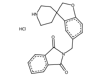 Cl.O=C1c2ccccc2C(=O)N1Cc1ccc2c(c1)C1(CCNCC1)CO2